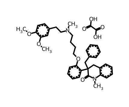 COc1ccc(CCN(C)CCCCOc2ccccc2C2(Cc3ccccc3)Cc3ccccc3N(C)C2=O)cc1OC.O=C(O)C(=O)O